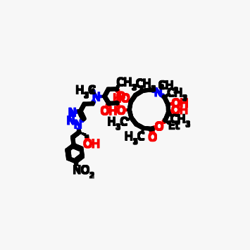 CC[C@H]1OC(=O)[C@H](C)C[C@H](C)[C@@H](O[C@@H]2O[C@H](C)C[C@H](N(C)CCc3cn([C@H](CO)Cc4ccc([N+](=O)[O-])cc4)nn3)C2O)[C@H](O)C[C@@H](C)CN(C)[C@H](C)[C@@H](O)[C@]1(C)O